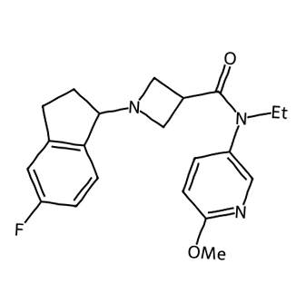 CCN(C(=O)C1CN(C2CCc3cc(F)ccc32)C1)c1ccc(OC)nc1